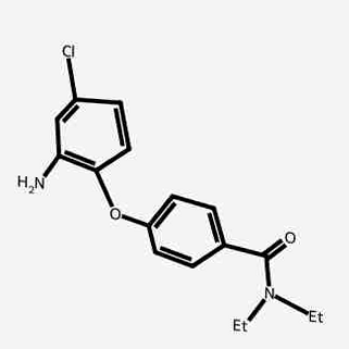 CCN(CC)C(=O)c1ccc(Oc2ccc(Cl)cc2N)cc1